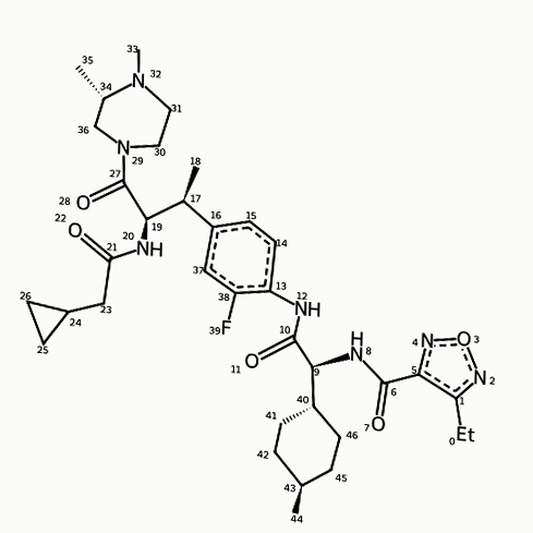 CCc1nonc1C(=O)N[C@H](C(=O)Nc1ccc([C@H](C)[C@@H](NC(=O)CC2CC2)C(=O)N2CCN(C)[C@@H](C)C2)cc1F)[C@H]1CC[C@H](C)CC1